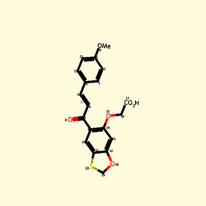 COc1ccc(/C=C/C(=O)c2cc3c(cc2OCC(=O)O)OCS3)cc1